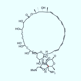 CNCC(=O)N[C@@H]1[C@H](O)[C@@H](O[C@H]2/C=C/C=C/C=C/C=C/C=C/C=C/C=C/[C@H](C)[C@@H](O)[C@@H](C)[C@H](C)OC(=O)C[C@H](O)C[C@H](O)CC[C@@H](O)[C@H](O)C[C@H](O)CC3(O)C[C@H](O)[C@@H](C(=O)NCCN)[C@H](C2)O3)O[C@@H](C)[C@H]1O